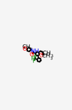 COc1ccc(NC(=O)c2cc3c(c(-c4ccccc4C(F)(F)F)c2)OC(C)(C)C=C3)cc1